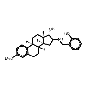 COc1ccc2c(c1)CC[C@@H]1[C@@H]2CC[C@]2(C)[C@H](O)C(NCc3ccccc3O)C[C@@H]12